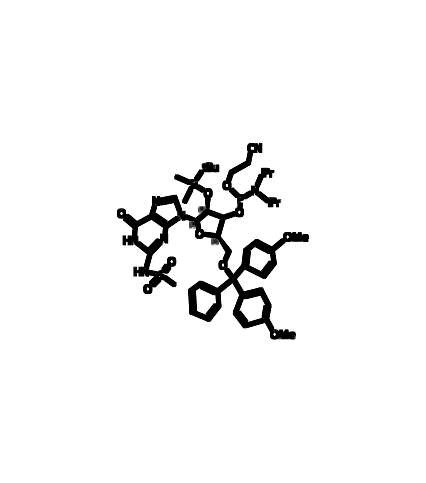 COc1ccc(C(OC[C@H]2O[C@@H](n3cnc4c(=O)[nH]c(NS(C)(=O)=O)nc43)[C@@H](O[Si](C)(C)C(C)(C)C)C2OP(OCCC#N)N(C(C)C)C(C)C)(c2ccccc2)c2ccc(OC)cc2)cc1